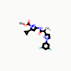 CC(C(=O)Nc1cc(C2CC2)n(C(=O)OC(C)(C)C)n1)c1ccn(-c2cc(F)cc(F)c2)n1